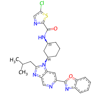 CC(C)Cc1nc2cnc(-c3nc4ccccc4o3)cc2n1[C@@H]1CCC[C@H](NC(=O)c2ncc(Cl)s2)C1